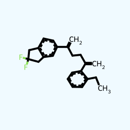 C=C(CCC(=C)c1ccccc1CC)c1ccc2c(c1)CC(F)(F)C2